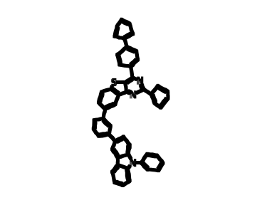 c1ccc(-c2ccc(-c3nc(-c4ccccc4)nc4c3sc3ccc(-c5cccc(-c6ccc7c(c6)c6ccccc6n7-c6ccccc6)c5)cc34)cc2)cc1